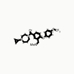 CNCc1cc(C(=O)N2CCCN(C3CC3)CC2)ccc1Oc1ccc(SC(F)(F)F)cc1